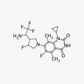 Cc1c(F)c(N2CC(F)C(C(N)C(F)(F)F)C2)c(C)c2c1c(=O)[nH]c(=O)n2C1CC1